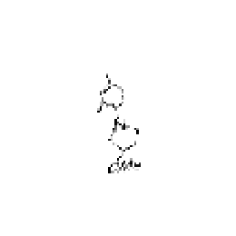 CO[C@@H]1CCN(c2ccc(C)cn2)C1